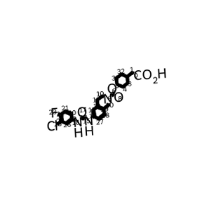 O=C(O)CC1CCC(OC(=O)N2CCc3cc(NC(=O)Nc4ccc(F)c(Cl)c4)ccc3C2)CC1